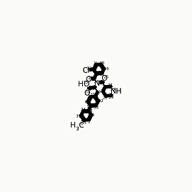 Cc1ccc(-c2ccc(C[C@@H](C(=O)O)N(C(=O)c3ccccc3Cl)C(=O)[C@@H]3CCCNC3)cc2)cc1